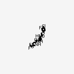 O=C(COc1ccc(Cl)c(F)c1)NC12CCC(NC(=O)C3CCC(OC(F)F)CN3)(C1)C2